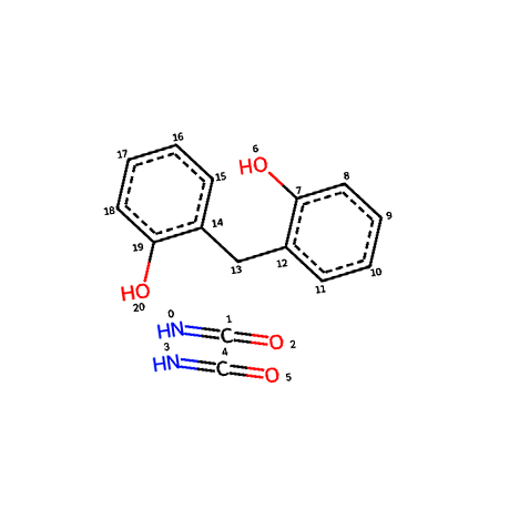 N=C=O.N=C=O.Oc1ccccc1Cc1ccccc1O